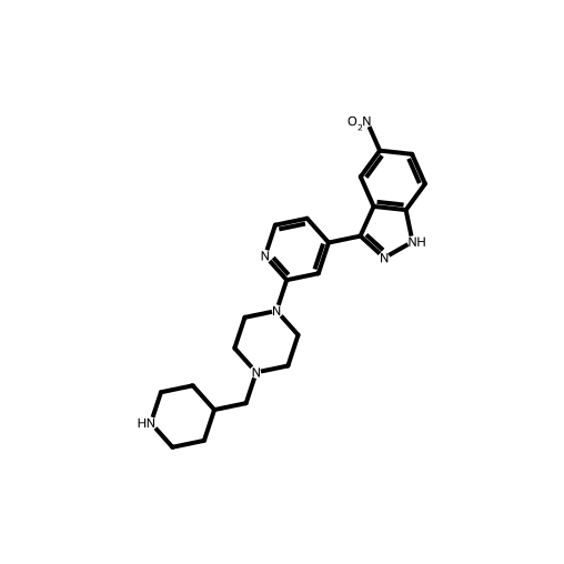 O=[N+]([O-])c1ccc2[nH]nc(-c3ccnc(N4CCN(CC5CCNCC5)CC4)c3)c2c1